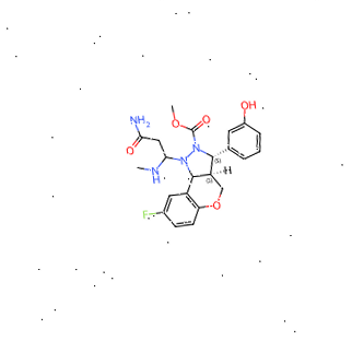 CNC(CC(N)=O)N1C2c3cc(F)ccc3OC[C@@H]2[C@@H](c2cccc(O)c2)N1C(=O)OC